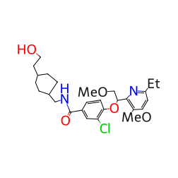 CCc1ccc(OC)c(C(COC)Oc2ccc(C(=O)NCC3CCC(CCO)CC3)cc2Cl)n1